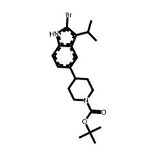 CC(C)c1c(Br)[nH]c2ccc(C3CCN(C(=O)OC(C)(C)C)CC3)cc12